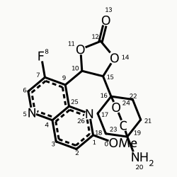 COc1ccc2ncc(F)c(C3OC(=O)OC3C34CCC(N)(CC3)CO4)c2n1